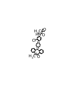 CN1C(=O)c2ccccc2C(N2CCN(c3ccc(NC(=O)C4(C)COC4)cc3Cl)CC2)c2ccccc21